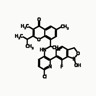 Cc1cc(C(C)Nc2ccc(Cl)nc2-c2ccc3c(c2F)B(O)OC3)c2oc(C(C)C)c(C)c(=O)c2c1